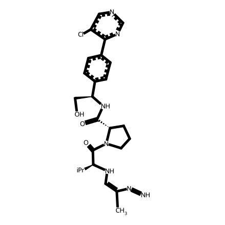 C/C(=C/N[C@H](C(=O)N1CCC[C@H]1C(=O)N[C@@H](CO)c1ccc(-c2ncncc2Cl)cc1)C(C)C)N=N